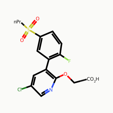 CCCS(=O)(=O)c1ccc(F)c(-c2cc(Cl)cnc2OCC(=O)O)c1